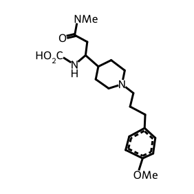 CNC(=O)CC(NC(=O)O)C1CCN(CCCc2ccc(OC)cc2)CC1